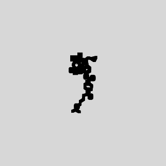 CC(C)OCCCCC(=O)N1CCN(C(=O)Oc2ccc3c4c2O[C@H]2C(=O)CC[C@@]5(O)[C@@H](C3)N(CC3CC3)CC[C@]425)CC1